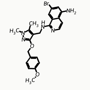 COc1ccc(COc2nn(C)c(C)c2CNc2nccc3c(N)cc(Br)cc23)cc1